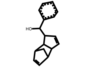 OC(c1ccccc1)C1C=CC2C3C=CC(C3)C21